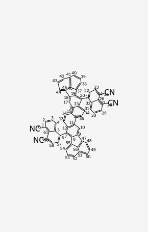 N#Cc1cccc2c(-c3c4c(cc5c3ccc3c6cc7c(c(-c8ccc(C#N)c9c(C#N)cccc89)c6ccc53)-c3cccc5cccc-7c35)-c3cccc5cccc-4c35)ccc(C#N)c12